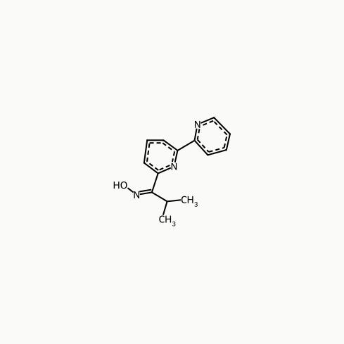 CC(C)/C(=N/O)c1cccc(-c2ccccn2)n1